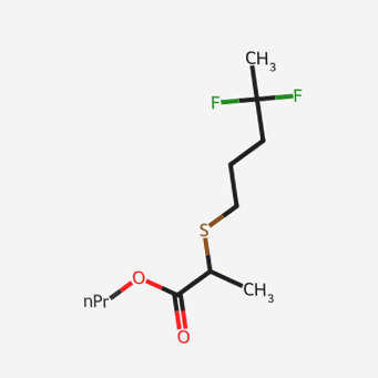 CCCOC(=O)C(C)SCCCC(C)(F)F